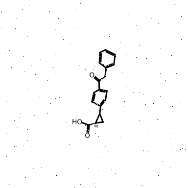 O=C(Cc1ccccc1)c1ccc(C2C[C@H]2C(=O)O)cc1